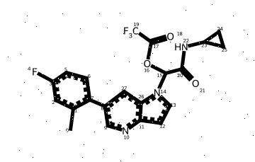 Cc1cc(F)ccc1-c1cnc2ccn(C(OC(=O)C(F)(F)F)C(=O)NC3CC3)c2c1